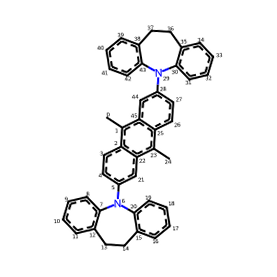 Cc1c2ccc(N3c4ccccc4CCc4ccccc43)cc2c(C)c2ccc(N3c4ccccc4CCc4ccccc43)cc12